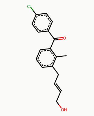 Cc1c(CC=CCO)cccc1C(=O)c1ccc(Cl)cc1